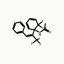 CC(=O)N(C)C1(/C(=C\c2ccccc2)C(F)(F)F)C=CC=CC1(O)F